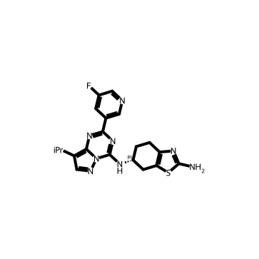 CC(C)c1cnn2c(N[C@@H]3CCc4nc(N)sc4C3)nc(-c3cncc(F)c3)nc12